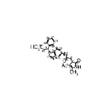 CC(=O)C1=C(C)NC(=O)C1CC(=O)Nc1ccc2c(c1)ncn2C(CC(=O)O)c1ccccc1